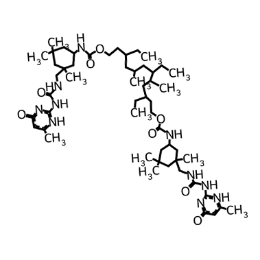 CCC(CCOC(=O)NC1CC(C)(C)CC(C)(CNC(=O)Nc2nc(=O)cc(C)[nH]2)C1)CC(C)CC(CC)C(C)CC(CC)CCOC(=O)NC1CC(C)(C)CC(C)(CNC(=O)Nc2nc(=O)cc(C)[nH]2)C1